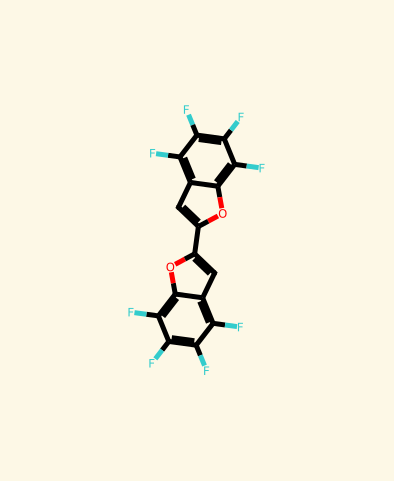 Fc1c(F)c(F)c2oc(-c3cc4c(F)c(F)c(F)c(F)c4o3)cc2c1F